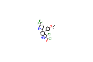 CC(C)Oc1ccc(-c2c(-c3ccc(C(F)(F)F)cn3)ccc3[nH]c(C(=O)Cl)c(Cl)c23)cc1